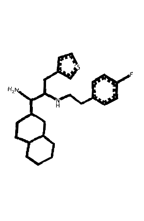 NC(C1CCC2CCCCC2C1)C(Cc1ccsc1)NCCc1ccc(F)cc1